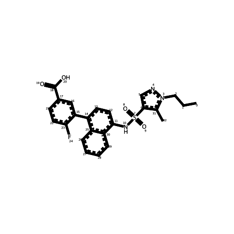 CCCn1ncc(S(=O)(=O)Nc2ccc(-c3cc(C(=O)O)ccc3F)c3ccccc23)c1C